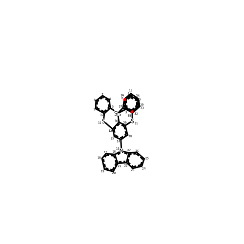 c1ccc([Si]23c4ccccc4Sc4cc(-n5c6ccccc6c6ccccc65)cc(c42)Sc2ccccc23)cc1